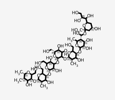 CC1OC(O[C@@H]2C(CO)O[C@@H](OC3C(O)[C@H](O)[C@@H](CO)O[C@@H]3OC3[C@H](O)C(CO)O[C@@H](O[C@@H]4C(CO)O[C@@H](O[C@@H]5C(CO)O[C@@H](C)[C@@H](C)C5O)[C@@H](C)C4O)[C@@H]3O)[C@@H](C)C2O)[C@@H](O)[C@@H](O)[C@H]1C(O)O[C@]1(C(=O)O)C[C@@H](O)CC(C(O)[C@H](O)CO)O1